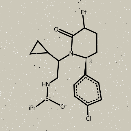 CCC1CC[C@@H](c2ccc(Cl)cc2)N(C(CN[S+]([O-])C(C)C)C2CC2)C1=O